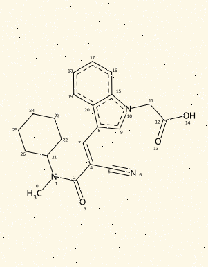 CN(C(=O)/C(C#N)=C/c1cn(CC(=O)O)c2ccccc12)C1CCCCC1